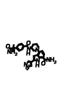 Cn1cc(-c2cc3c(N4CCCC(NC(=O)c5ccc(C(C)(C)C(N)=O)cc5)C4)ccc(C(N)=O)c3[nH]2)cn1